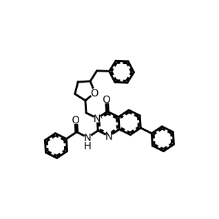 O=C(Nc1nc2cc(-c3ccccc3)ccc2c(=O)n1CC1CCC(Cc2ccccc2)O1)c1ccccc1